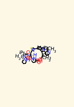 CCn1c(-c2cccnc2[C@H](C)OC)c2c3cc(ccc31)-c1csc(n1)C[C@H](NC(=O)[C@H](C(C)C)N(C)C(=O)N1CCCCC1)C(=O)N1CCC[C@@](O)(N1)C(=O)OCC(C)(C)C2